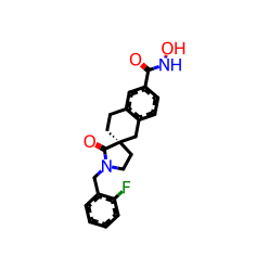 O=C(NO)c1ccc2c(c1)CC[C@@]1(CCN(Cc3ccccc3F)C1=O)C2